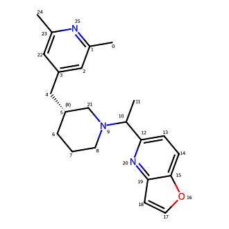 Cc1cc(C[C@H]2CCCN(C(C)c3ccc4occc4n3)C2)cc(C)n1